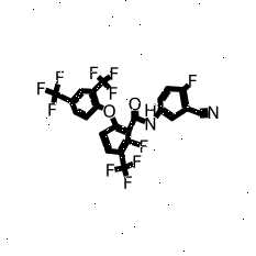 N#Cc1cc(NC(=O)c2c(Oc3ccc(C(F)(F)F)cc3C(F)(F)F)ccc(C(F)(F)F)c2F)ccc1F